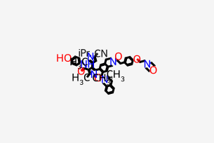 Cc1c(C(=O)Nc2ccc(O)cc2)c(-c2cc(C#N)n(C(C)C)c2C)c(-c2cc3c(cc2C(=O)N2Cc4ccccc4C[C@H]2C)CN(C(=O)Cc2ccc(OCCN4CCOCC4)cc2)CC3)n1C